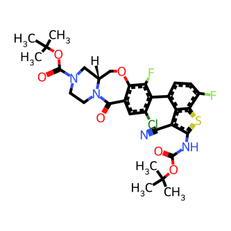 CC(C)(C)OC(=O)Nc1sc2c(F)ccc(-c3c(Cl)cc4c(c3F)OC[C@H]3CN(C(=O)OC(C)(C)C)CCN3C4=O)c2c1C#N